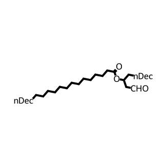 CCCCCCCCCCCCCCCCCCCCCCCC(=O)OC(CC=O)CCCCCCCCCCC